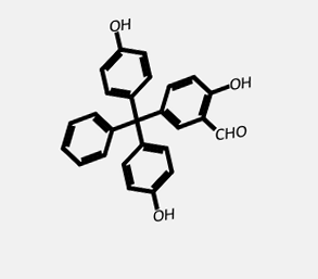 O=Cc1cc(C(c2ccccc2)(c2ccc(O)cc2)c2ccc(O)cc2)ccc1O